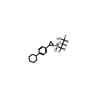 O=S(=O)([C@@H]1CC1c1ccc(C2CCCCC2)cc1)C(F)(F)C(F)(F)C(F)(F)S